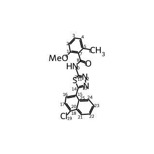 COc1cccc(C)c1C(=O)Nc1nnc(-c2ccc(Cl)c3ccccc23)s1